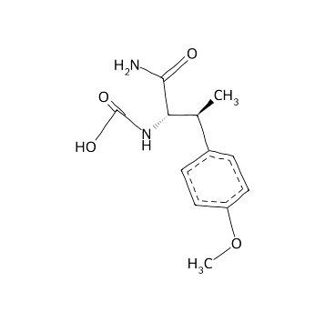 COc1ccc([C@H](C)[C@H](NC(=O)O)C(N)=O)cc1